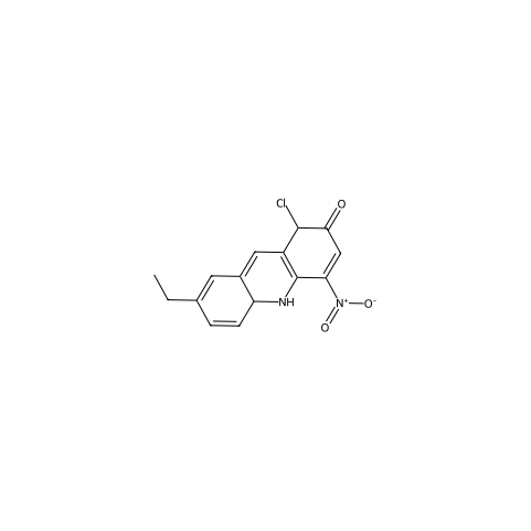 CCC1=CC2=CC3=C(NC2C=C1)C([N+](=O)[O-])=CC(=O)C3Cl